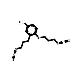 Cc1ccc(OCCCN=C=O)c(CCCN=C=O)c1